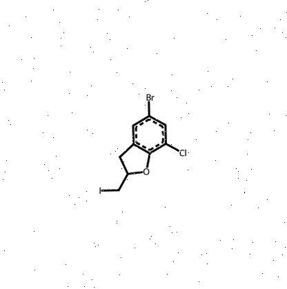 Clc1cc(Br)cc2c1OC(CI)C2